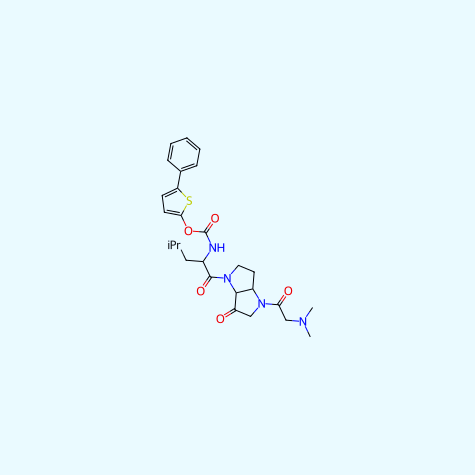 CC(C)CC(NC(=O)Oc1ccc(-c2ccccc2)s1)C(=O)N1CCC2C1C(=O)CN2C(=O)CN(C)C